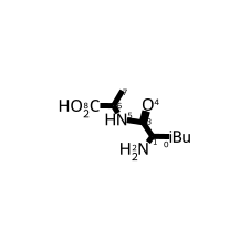 CCC(C)C(N)C(=O)NC(C)C(=O)O